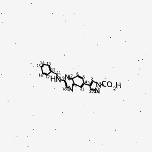 O=C(O)n1cc(-c2ccc3nc(NCc4ccccc4)cnc3c2)cn1